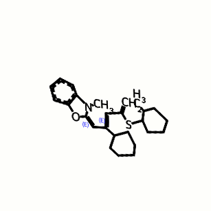 C=C(/C=C(/C=C1/Oc2ccccc2N1C)C1CCCCC1)SC1CCCCC1C